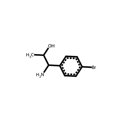 CC(O)C(N)c1ccc(Br)cc1